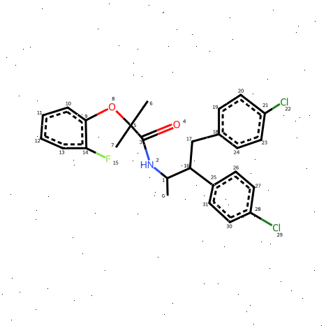 CC(NC(=O)C(C)(C)Oc1ccccc1F)C(Cc1ccc(Cl)cc1)c1ccc(Cl)cc1